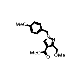 COCc1nn(Cc2ccc(OC)cc2)cc1C(=O)OC